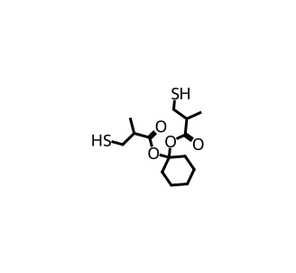 CC(CS)C(=O)OC1(OC(=O)C(C)CS)CCCCC1